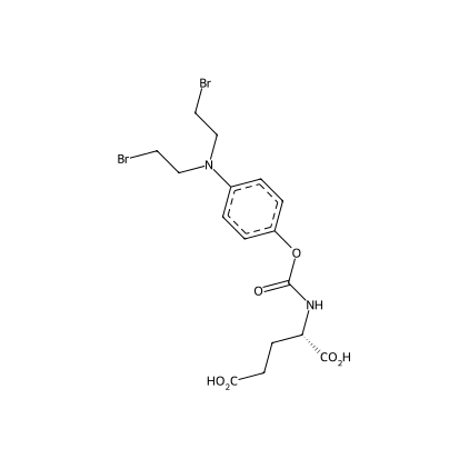 O=C(O)CC[C@H](NC(=O)Oc1ccc(N(CCBr)CCBr)cc1)C(=O)O